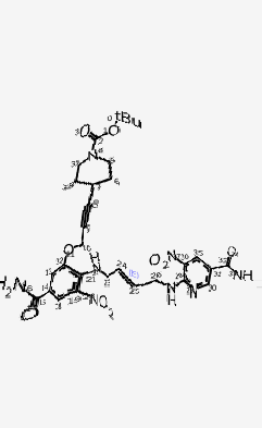 CC(C)(C)OC(=O)N1CCC(C#CCOc2cc(C(N)=O)cc([N+](=O)[O-])c2NC/C=C/CNc2ncc(C(N)=O)cc2[N+](=O)[O-])CC1